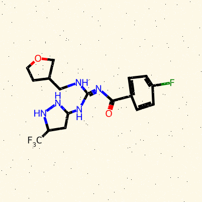 O=C(/N=C(/NCC1CCOC1)NC1CC(C(F)(F)F)NN1)c1ccc(F)cc1